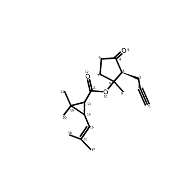 C#CC[C@@H]1C(=O)CCC1(C)OC(=O)C1C(C=C(C)C)C1(C)C